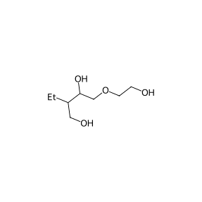 [CH2]CC(CO)C(O)COCCO